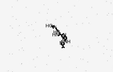 CC(C)c1cnnc(Nc2ccc3ncc(/C(C=N)=C/NCCCN4CC(O)C4)cc3n2)c1